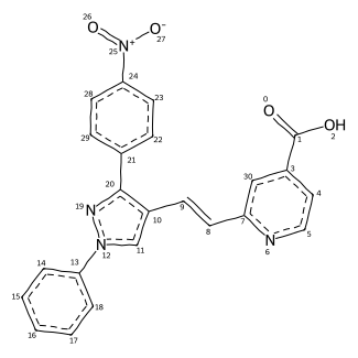 O=C(O)c1ccnc(C=Cc2cn(-c3ccccc3)nc2-c2ccc([N+](=O)[O-])cc2)c1